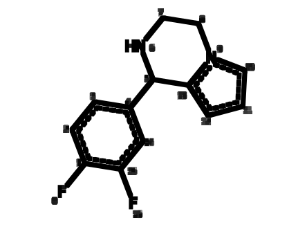 Fc1ccc(C2NCCn3cccc32)cc1F